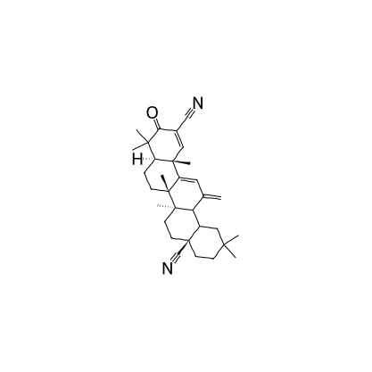 C=C1C=C2[C@@]3(C)C=C(C#N)C(=O)C(C)(C)[C@@H]3CC[C@@]2(C)[C@]2(C)CC[C@@]3(C#N)CCC(C)(C)CC3C12